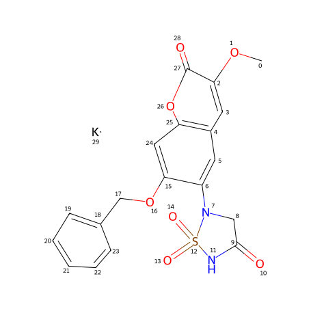 COc1cc2cc(N3CC(=O)NS3(=O)=O)c(OCc3ccccc3)cc2oc1=O.[K]